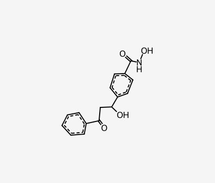 O=C(CC(O)c1ccc(C(=O)NO)cc1)c1ccccc1